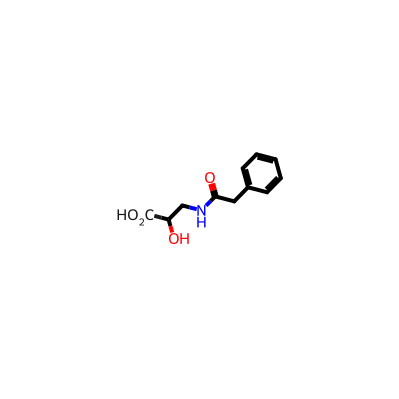 O=C(Cc1ccccc1)NCC(O)C(=O)O